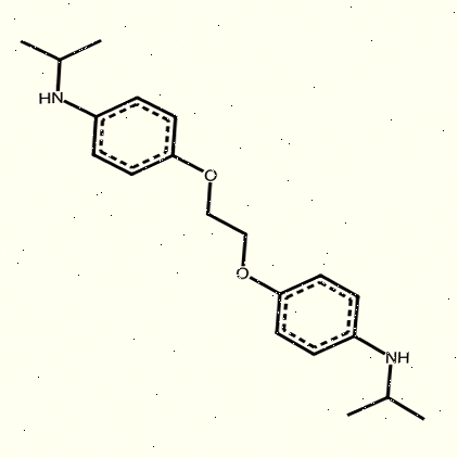 CC(C)Nc1ccc(OCCOc2ccc(NC(C)C)cc2)cc1